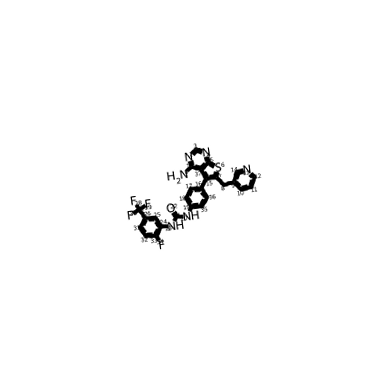 Nc1ncnc2sc(Cc3cccnc3)c(-c3ccc(NC(=O)Nc4cc(C(F)(F)F)ccc4F)cc3)c12